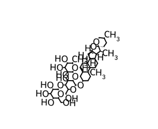 CC1O[C@@H](O[C@H]2C(O)[C@H](O[C@@H]3OC(CO)[C@@H](O)C(O)[C@@H]3O)C(CO)O[C@H]2OC2CC[C@@]3(C)C(=CC[C@H]4[C@@H]5C[C@@H]6O[C@]7(CC[C@@H](C)CO7)[C@@H](C)[C@@H]6[C@@]5(C)CC[C@@H]43)C2)[C@@H](O)C(O)[C@H]1O